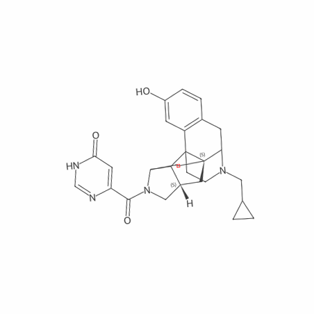 O=C(c1cc(=O)[nH]cn1)N1C[C@H]2C[C@@]34CCC1C2C31CCN(CC2CC2)C4Cc2ccc(O)cc21